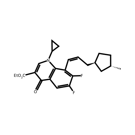 CCOC(=O)c1cn(C2CC2)c2c(/C=C\C[C@H]3CC[C@H](C)C3)c(F)c(F)cc2c1=O